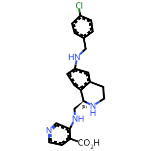 O=C(O)c1ccncc1NC[C@@H]1NCCc2cc(NCc3ccc(Cl)cc3)ccc21